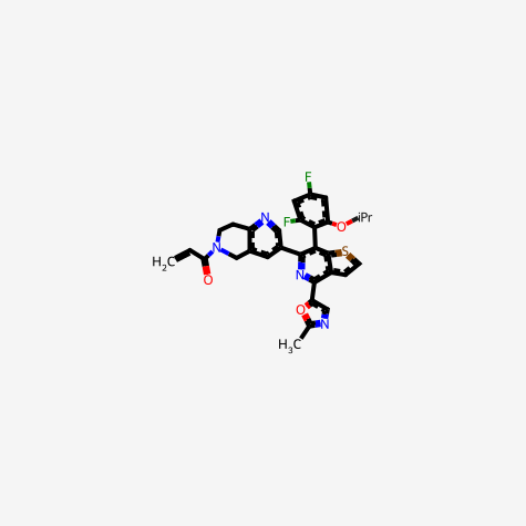 C=CC(=O)N1CCc2ncc(-c3nc(-c4cnc(C)o4)c4ccsc4c3-c3c(F)cc(F)cc3OC(C)C)cc2C1